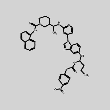 CCCC(NC(=O)Oc1ccc([N+](=O)[O-])cc1)Nc1ccc2c(c1)ncn2-c1ccnc(NC(C)C2CCCN(C(=O)Nc3cccc4ccccc34)C2)n1